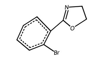 Brc1ccccc1C1=NCCO1